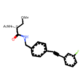 COC[C@@H](NC(C)=O)C(=O)NCc1ccc(C#Cc2cccc(F)c2)cc1